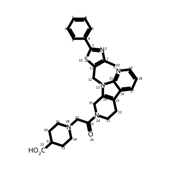 Cc1nc(-c2ccccc2)sc1Cn1c2c(c3cccnc31)CCN(C(=O)CN1CCC(C(=O)O)CC1)C2